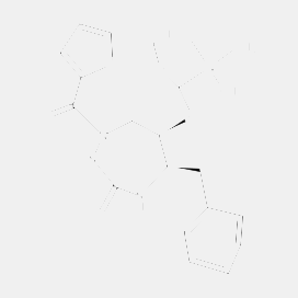 CCOC(O[C@@H]1CN(C(=O)c2ccco2)NC(=O)N[C@@H]1Cc1ccccc1)[Si](C)(C)C